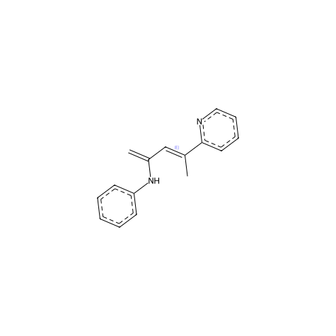 C=C(/C=C(\C)c1ccccn1)Nc1ccccc1